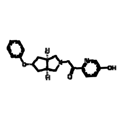 O=C(CN1C[C@H]2C[C@@H](Oc3ccccc3)C[C@H]2C1)c1ccc(O)cn1